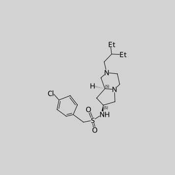 CCC(CC)CN1CCN2C[C@@H](NS(=O)(=O)Cc3ccc(Cl)cc3)C[C@H]2C1